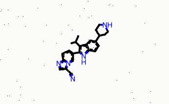 CC(C)c1c(-c2ccc3ncc(C#N)n3c2)[nH]c2ccc(C3CCNCC3)cc12